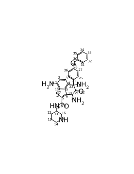 Nc1ccc2c3c(c(C(=O)NC4CCCNC4)sc13)C(N)C(=O)C2(N)c1ccc(Oc2ccccc2)cc1